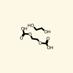 O=C(O)OCCOC(=O)O.OCCO